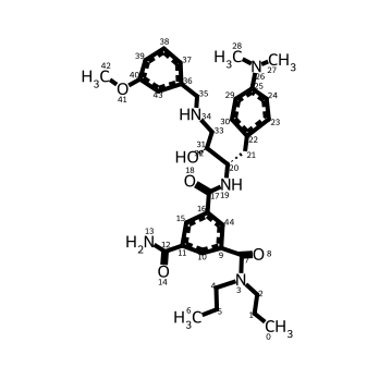 CCCN(CCC)C(=O)c1cc(C(N)=O)cc(C(=O)N[C@@H](Cc2ccc(N(C)C)cc2)[C@H](O)CNCc2cccc(OC)c2)c1